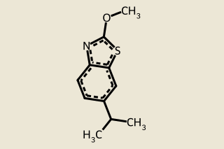 COc1nc2ccc(C(C)C)cc2s1